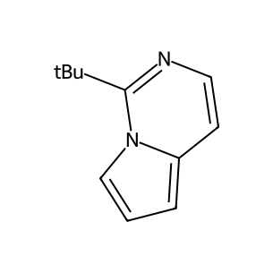 CC(C)(C)c1nccc2cccn12